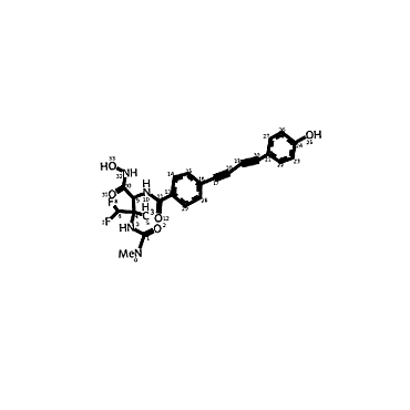 CNC(=O)NC(C)(C(F)F)C(NC(=O)c1ccc(C#CC#Cc2ccc(O)cc2)cc1)C(=O)NO